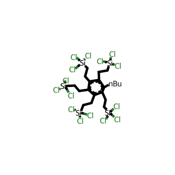 CCCCc1c(CC[Si](Cl)(Cl)Cl)c(CC[Si](Cl)(Cl)Cl)c(CC[Si](Cl)(Cl)Cl)c(CC[Si](Cl)(Cl)Cl)c1CC[Si](Cl)(Cl)Cl